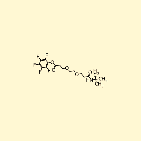 CC(C)(C)NC(=O)CCOCCOCCC(=O)Oc1c(F)c(F)c(F)c(F)c1F